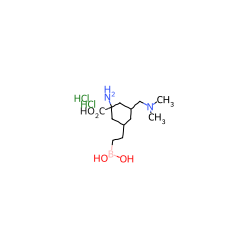 CN(C)CC1CC(CCB(O)O)CC(N)(C(=O)O)C1.Cl.Cl